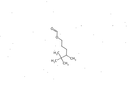 CC(CCCOC=O)C(C)(C)C